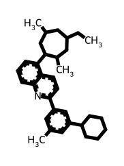 CCC1CC(C)CC(c2cccc3nc(-c4cc(C)cc(C5CCCCC5)c4)ccc23)C(C)C1